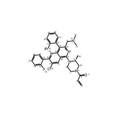 C=CC(=O)N1CCN(c2nc(CN(C)C)c(-c3ccccc3C(C)C)c3nc(-c4ccccc4F)c(Cl)cc23)[C@@H](C)C1